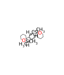 C[SiH](C)C1(c2ccc(C3([SiH](C)C)CCCCO3)cc2)CCCCO1